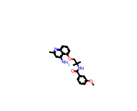 COc1cccc(C(=O)NC(C)(C)COc2cccc3nc(C)cc(N)c23)c1